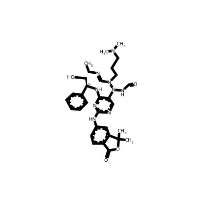 CCN=CN(CCCN(C)C)N(NC=O)c1cnc(Nc2ccc3c(c2)C(C)(C)OC3=O)nc1N[C@H](CO)c1ccccc1